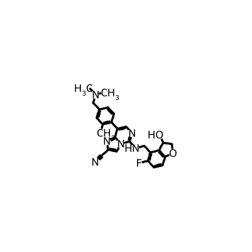 Cc1cc(CN(C)C)ccc1-c1cnc(NCc2c(F)ccc3c2C(O)CO3)n2cc(C#N)nc12